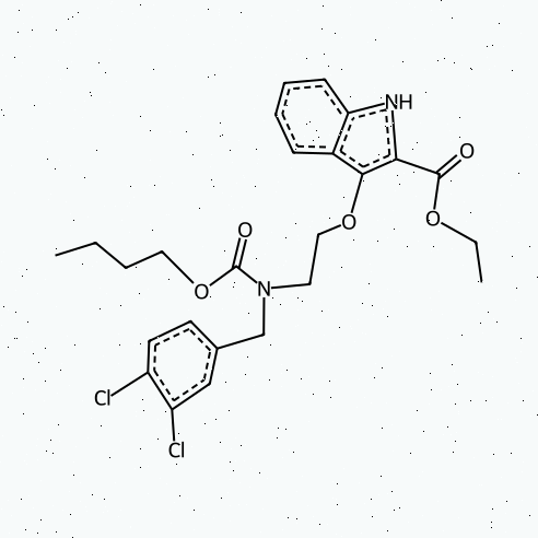 CCCCOC(=O)N(CCOc1c(C(=O)OCC)[nH]c2ccccc12)Cc1ccc(Cl)c(Cl)c1